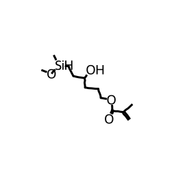 C=C(C)C(=O)OCCCC(O)CC[SiH](C)OC